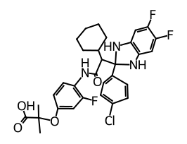 CC(C)(Oc1ccc(NC(=O)C(C2CCCCC2)C2(c3ccc(Cl)cc3)Nc3cc(F)c(F)cc3N2)c(F)c1)C(=O)O